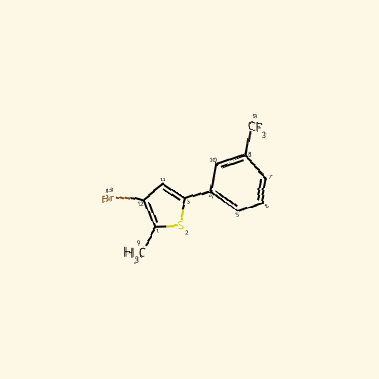 Cc1sc(-c2cccc(C(F)(F)F)c2)cc1Br